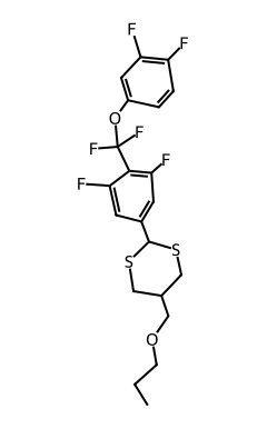 CCCOCC1CSC(c2cc(F)c(C(F)(F)Oc3ccc(F)c(F)c3)c(F)c2)SC1